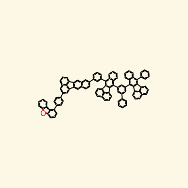 c1ccc(-c2cc(-c3c4c(c(-c5ccccc5)c5ccccc35)-c3cccc5cccc-4c35)cc(-c3c4c(c(-c5cccc(-c6ccc7cc8c(cc7c6)-c6cccc7cc(-c9ccc(-c%10cccc%11oc%12ccccc%12c%10%11)cc9)cc-8c67)c5)c5ccccc35)-c3cccc5cccc-4c35)c2)cc1